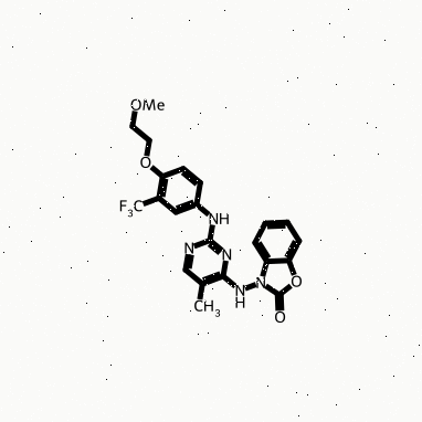 COCCOc1ccc(Nc2ncc(C)c(Nn3c(=O)oc4ccccc43)n2)cc1C(F)(F)F